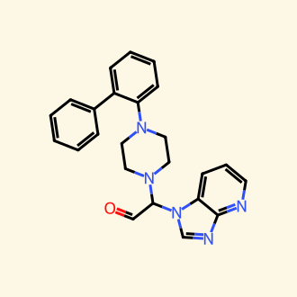 O=CC(N1CCN(c2ccccc2-c2ccccc2)CC1)n1cnc2ncccc21